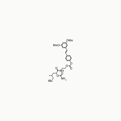 COc1cc(C=Cc2ccc(OC(=O)OCCNC(=O)C(CC(C)CC(C)(C)C)OC(N)=O)cc2)cc(OC)c1